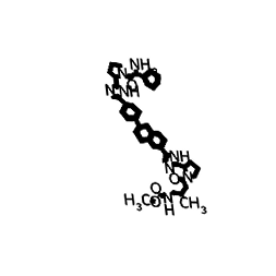 COC(=O)NCC(C)CC(=O)N1CCCC1c1ncc(-c2ccc3cc(-c4ccc(-c5cnc(C6CCCN6C(=O)C(N)c6ccccc6)[nH]5)cc4)ccc3c2)[nH]1